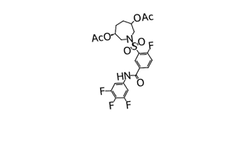 CC(=O)OC1CC[C@H](OC(C)=O)CN(S(=O)(=O)c2cc(C(=O)Nc3cc(F)c(F)c(F)c3)ccc2F)C1